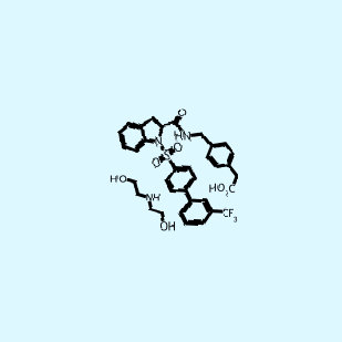 O=C(O)Cc1ccc(CNC(=O)[C@@H]2Cc3ccccc3N2S(=O)(=O)c2ccc(-c3cccc(C(F)(F)F)c3)cc2)cc1.OCCNCCO